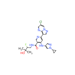 CC(C)(O)C(F)CNC(=O)c1cnc(-c2cnn3cc(Cl)cnc23)cc1Nc1cnn(C2CC2)c1